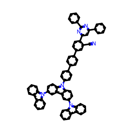 N#Cc1cc(-c2ccc(-c3ccc(-n4c5ccc(-n6c7ccccc7c7ccccc76)cc5c5cc(-n6c7ccccc7c7ccccc76)ccc54)cc3)cc2)ccc1-c1cc(-c2ccccc2)nc(-c2ccccc2)n1